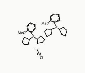 COc1ccccc1P(C1CCCC1)C1CCCC1.COc1ccccc1P(C1CCCC1)C1CCCC1.[Cl][Pd][Cl]